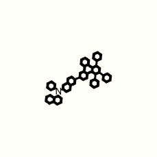 c1ccc(-c2cc(-c3ccccc3)c3c4ccccc4c4cc(-c5ccc6cc(N(c7ccccc7)c7cccc8ccccc78)ccc6c5)ccc4c3c2-c2ccccc2)cc1